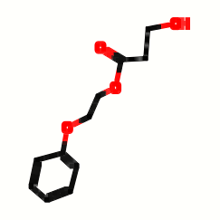 O=C(CCO)OCCOc1ccccc1